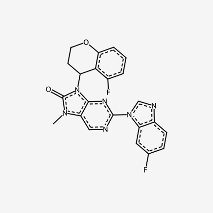 Cn1c(=O)n(C2CCOc3cccc(F)c32)c2nc(-n3cnc4ccc(F)cc43)ncc21